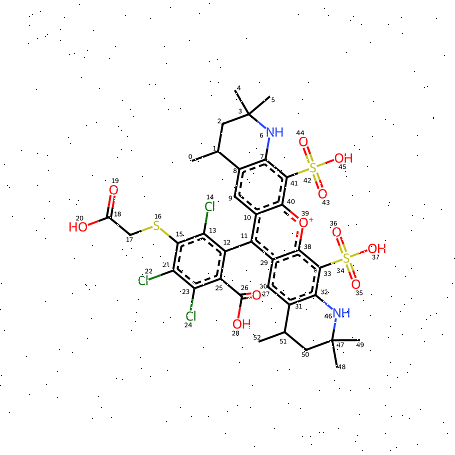 CC1CC(C)(C)Nc2c1cc1c(-c3c(Cl)c(SCC(=O)O)c(Cl)c(Cl)c3C(=O)O)c3cc4c(c(S(=O)(=O)O)c3[o+]c1c2S(=O)(=O)O)NC(C)(C)CC4C